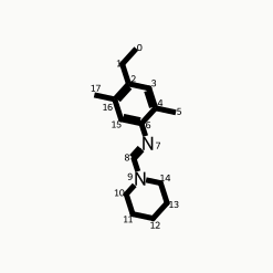 CCc1cc(C)c(N=CN2CCCCC2)cc1C